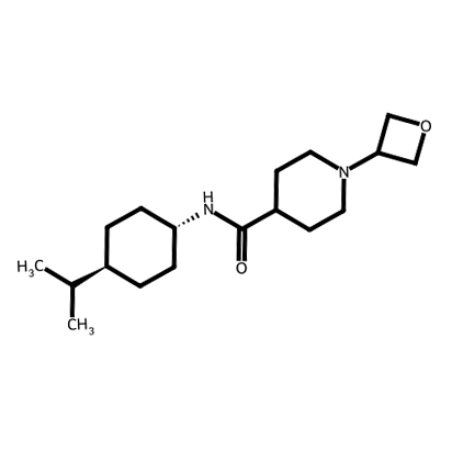 CC(C)[C@H]1CC[C@H](NC(=O)C2CCN(C3COC3)CC2)CC1